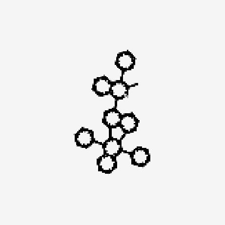 Cc1nc(-c2ccc3c4c(cccc24)-c2c-3c(-c3ccccc3)c3ccccc3c2-c2ccccc2)c2ccccc2c1-c1ccccc1